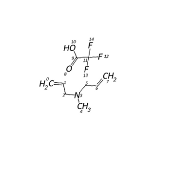 C=CCN(C)CC=C.O=C(O)C(F)(F)F